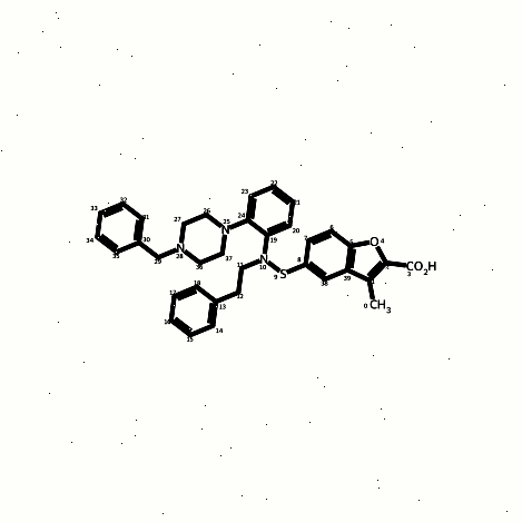 Cc1c(C(=O)O)oc2ccc(SN(CCc3ccccc3)c3ccccc3N3CCN(Cc4ccccc4)CC3)cc12